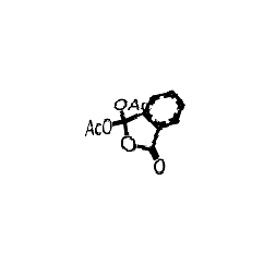 CC(=O)OC1(OC(C)=O)OC(=O)c2ccccc21